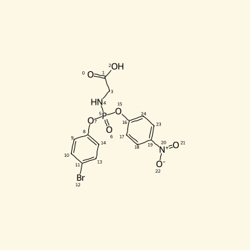 O=C(O)CNP(=O)(Oc1ccc(Br)cc1)Oc1ccc([N+](=O)[O-])cc1